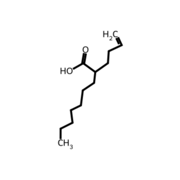 C=CCCC(CCCCCCC)C(=O)O